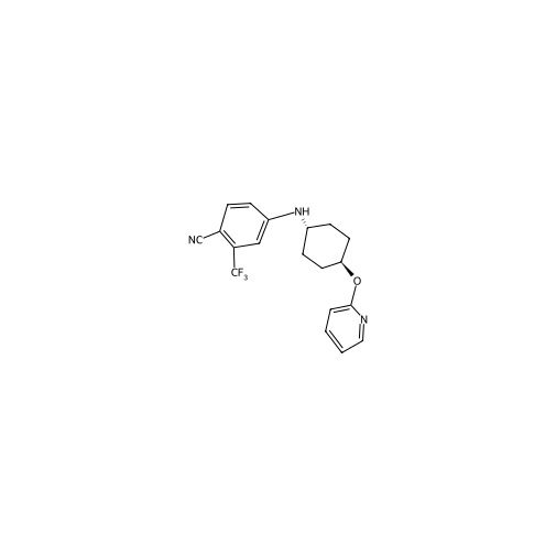 N#Cc1ccc(N[C@H]2CC[C@H](Oc3ccccn3)CC2)cc1C(F)(F)F